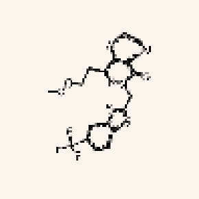 COOCCc1nn(Cc2nc3cc(C(F)(F)F)ccc3s2)c(=O)c2nccnc12